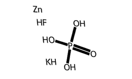 F.O=P(O)(O)O.[KH].[Zn]